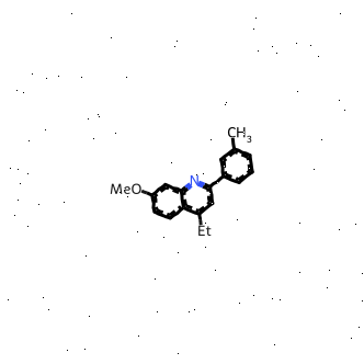 CCc1cc(-c2cccc(C)c2)nc2cc(OC)ccc12